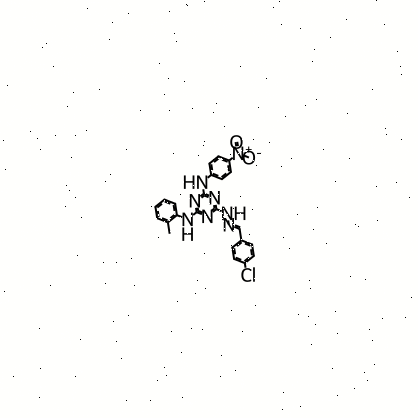 Cc1ccccc1Nc1nc(N/N=C/c2ccc(Cl)cc2)nc(Nc2ccc([N+](=O)[O-])cc2)n1